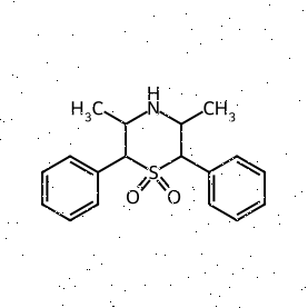 CC1NC(C)C(c2ccccc2)S(=O)(=O)C1c1ccccc1